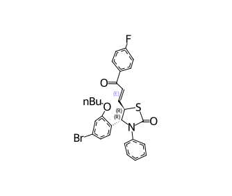 CCCCOc1cc(Br)ccc1[C@@H]1[C@@H](/C=C/C(=O)c2ccc(F)cc2)SC(=O)N1c1ccccc1